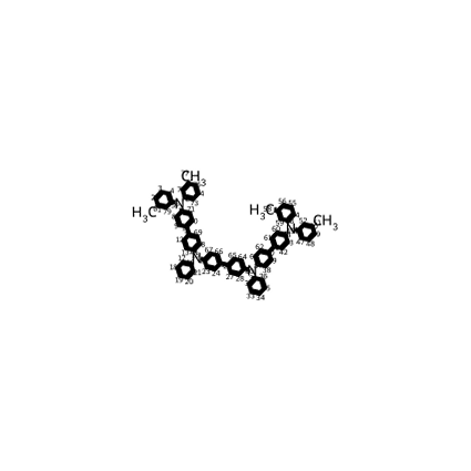 Cc1cccc(N(c2ccc(-c3ccc(N(c4ccccc4)c4ccc(-c5ccc(N(c6ccccc6)c6ccc(-c7ccc(N(c8cccc(C)c8)c8cccc(C)c8)cc7)cc6)cc5)cc4)cc3)cc2)c2cccc(C)c2)c1